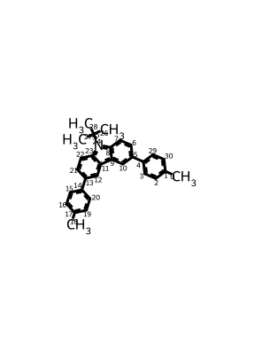 Cc1ccc(-c2ccc3c(c2)c2cc(-c4ccc(C)cc4)ccc2n3C(C)(C)C)cc1